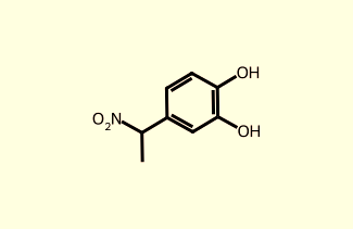 CC(c1ccc(O)c(O)c1)[N+](=O)[O-]